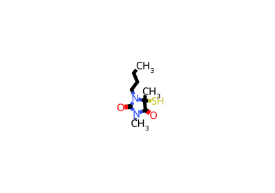 CCCCN1C(=O)N(C)C(=O)C1(C)S